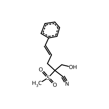 CS(=O)(=O)C(C#N)(CO)C/C=C/c1ccccc1